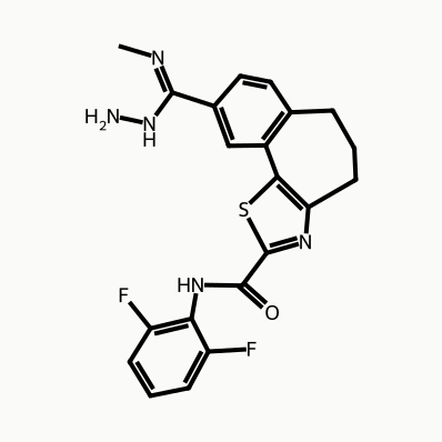 C/N=C(\NN)c1ccc2c(c1)-c1sc(C(=O)Nc3c(F)cccc3F)nc1CCC2